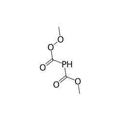 COOC(=O)PC(=O)OC